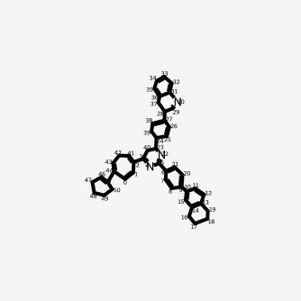 C1=CC(C2=NC(c3ccc(-c4ccc5c(c4)CCCC5)cc3)=NC(C3C=CC(C4C=Nc5ccccc5C4)=CC3)C2)=CCC=C1C1=CCCCC1